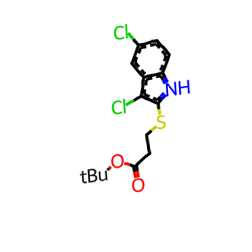 CC(C)(C)OC(=O)CCSc1[nH]c2ccc(Cl)cc2c1Cl